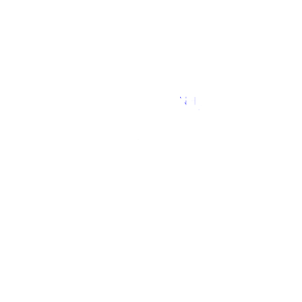 NC=C1CCCCC1